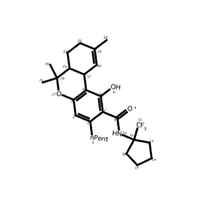 CCCCCc1cc2c(c(O)c1C(=O)NC1(C(F)(F)F)CCCC1)C1C=C(C)CCC1C(C)(C)O2